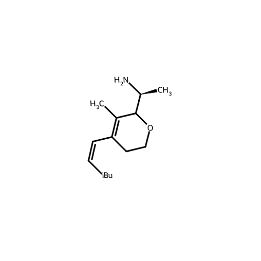 CCC(C)/C=C\C1=C(C)C([C@H](C)N)OCC1